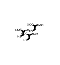 CCCCCCCCC(CS)C(=O)[O-].CCCCCCCCC(CS)C(=O)[O-].CCCCCCCCC(CS)C(=O)[O-].[Sb+3]